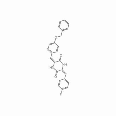 O=c1[nH]c(=Cc2ccc(OCc3ccccc3)cn2)c(=O)[nH]c1=Cc1ccc(F)cc1